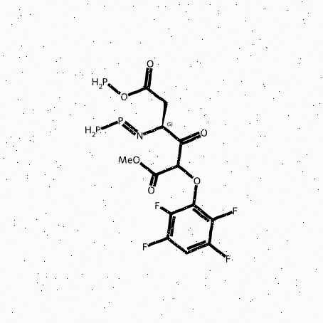 COC(=O)C(Oc1c(F)c(F)cc(F)c1F)C(=O)[C@H](CC(=O)OP)N=PP